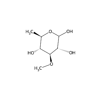 CO[C@H]1[C@H](O)[C@@H](C)OC(O)[C@@H]1O